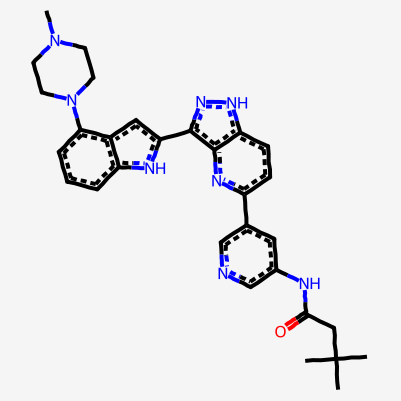 CN1CCN(c2cccc3[nH]c(-c4n[nH]c5ccc(-c6cncc(NC(=O)CC(C)(C)C)c6)nc45)cc23)CC1